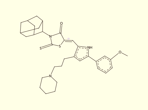 COc1cccc(-c2cc(CCCN3CCCCC3)c(/C=C3\SC(=S)N(C4C5CC6CC(C5)CC4C6)C3=O)[nH]2)c1